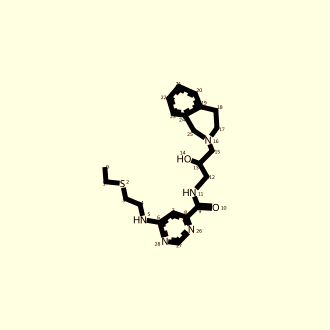 CCSCCNc1cc(C(=O)NCC(O)CN2CCc3ccccc3C2)ncn1